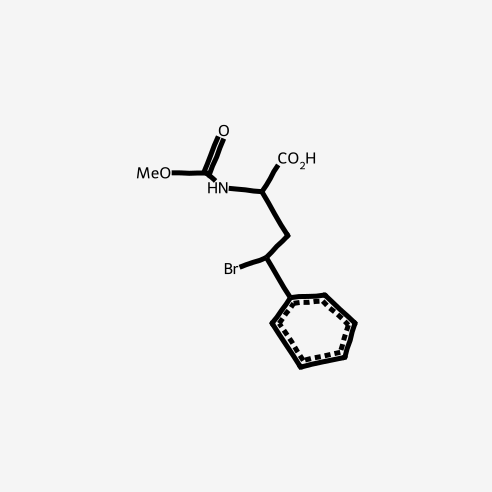 COC(=O)NC(CC(Br)c1ccccc1)C(=O)O